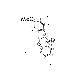 COc1ccc(/C=C2\CSc3ccccc3C2=O)cc1